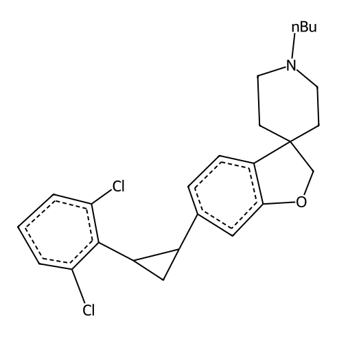 CCCCN1CCC2(CC1)COc1cc(C3CC3c3c(Cl)cccc3Cl)ccc12